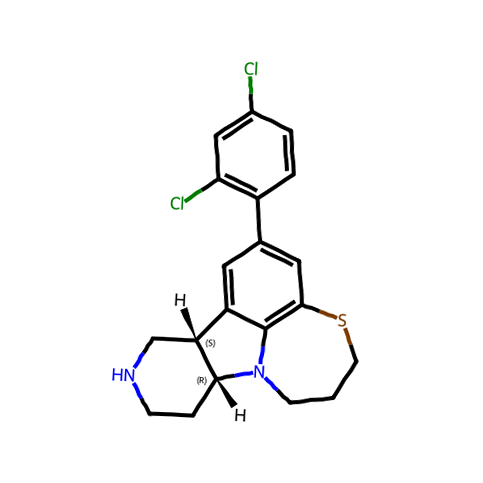 Clc1ccc(-c2cc3c4c(c2)[C@H]2CNCC[C@H]2N4CCCS3)c(Cl)c1